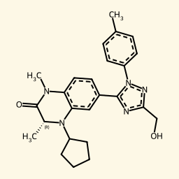 Cc1ccc(-n2nc(CO)nc2-c2ccc3c(c2)N(C2CCCC2)[C@H](C)C(=O)N3C)cc1